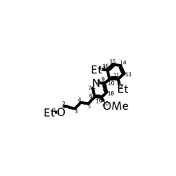 CCOCCCCc1cnc(-c2c(CC)cccc2CC)cc1OC